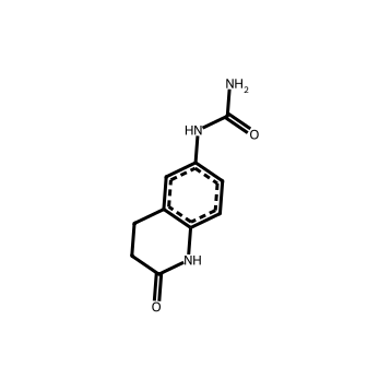 NC(=O)Nc1ccc2c(c1)CCC(=O)N2